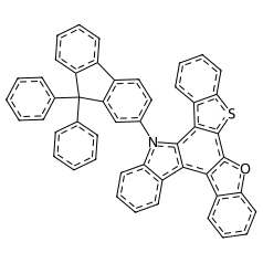 c1ccc(C2(c3ccccc3)c3ccccc3-c3ccc(-n4c5ccccc5c5c6c7ccccc7oc6c6sc7ccccc7c6c54)cc32)cc1